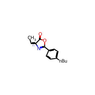 C/C=C1/N=C(c2ccc(CCCC)cc2)OC1=O